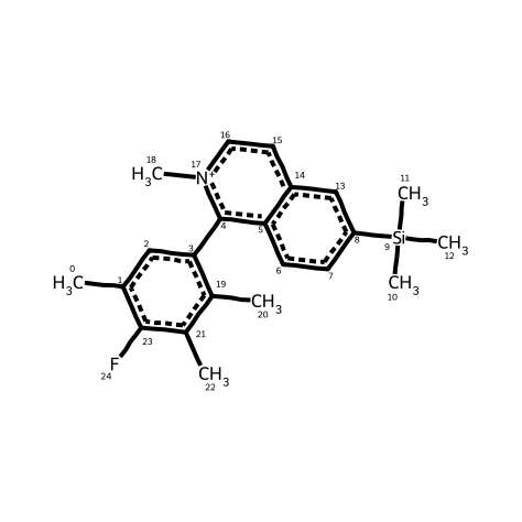 Cc1cc(-c2c3ccc([Si](C)(C)C)cc3cc[n+]2C)c(C)c(C)c1F